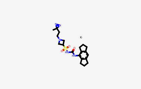 CC1(CCN2CC(S(=O)(=O)NC(=O)Nc3c4c(cc5c3CCC5)CCC4)C2)N=N1.[K]